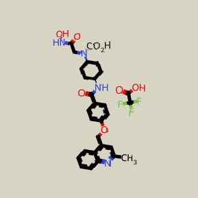 Cc1cc(COc2ccc(C(=O)N[C@H]3CC[C@H](N(CC(=O)NO)C(=O)O)CC3)cc2)c2ccccc2n1.O=C(O)C(F)(F)F